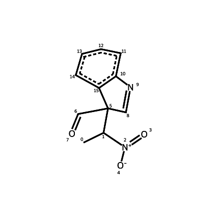 CC([N+](=O)[O-])C1(C=O)C=Nc2ccccc21